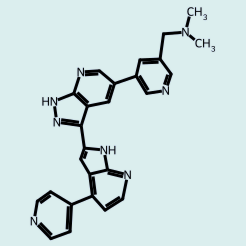 CN(C)Cc1cncc(-c2cnc3[nH]nc(-c4cc5c(-c6ccncc6)ccnc5[nH]4)c3c2)c1